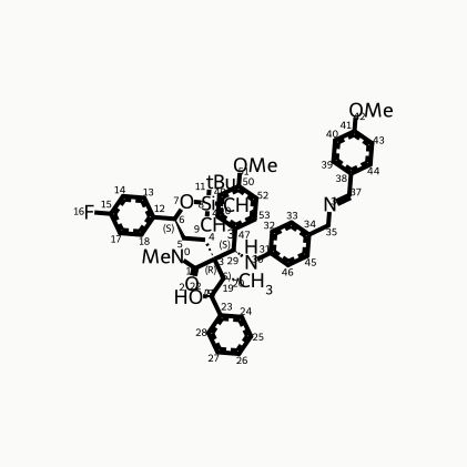 CNC(=O)[C@](CC[C@H](O[Si](C)(C)C(C)(C)C)c1ccc(F)cc1)([C@H](C)[C@H](O)c1ccccc1)[C@@H](Nc1ccc(CN=Cc2ccc(OC)cc2)cc1)c1ccc(OC)cc1